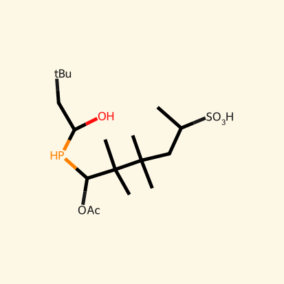 CC(=O)OC(PC(O)CC(C)(C)C)C(C)(C)C(C)(C)CC(C)S(=O)(=O)O